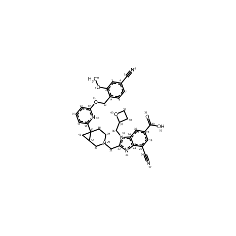 COc1cc(C#N)ccc1COc1cccc(C23CCN(Cc4nc5c(C#N)cc(C(=O)O)cc5n4CC4CCO4)CC2C3)n1